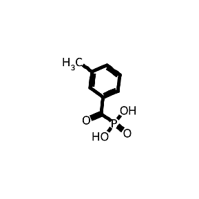 Cc1cccc(C(=O)P(=O)(O)O)c1